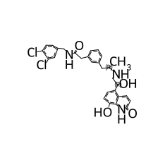 C[C@H](Cc1cccc(CC(=O)NCc2ccc(Cl)c(Cl)c2)c1)NC[C@H](O)c1ccc(O)c2[nH]c(=O)ccc12